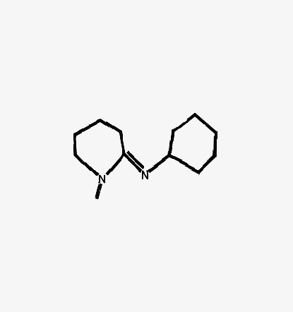 CN1CCCC/C1=N\C1CCCCC1